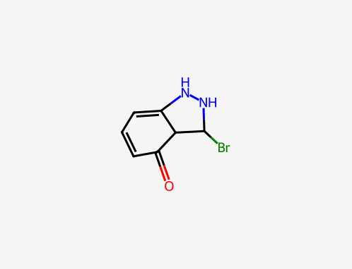 O=C1C=CC=C2NNC(Br)C12